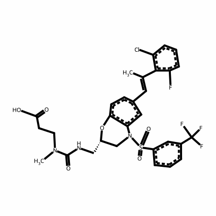 C/C(=C\c1ccc2c(c1)N(S(=O)(=O)c1cccc(C(F)(F)F)c1)C[C@H](CNC(=O)N(C)CCC(=O)O)O2)c1c(F)cccc1Cl